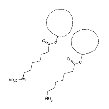 NCCCCCCC(=O)OC1CCCCCCCCCCC1.O=C(O)NCCCCCCC(=O)OC1CCCCCCCCCCC1